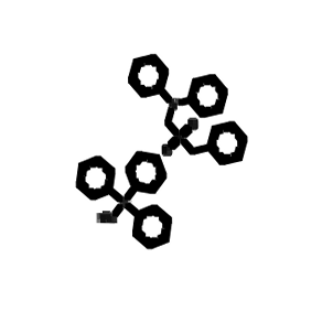 CCCC[B-](c1ccccc1)(c1ccccc1)c1ccccc1.O=S(=O)(Cc1ccccc1)C[S+](c1ccccc1)c1ccccc1